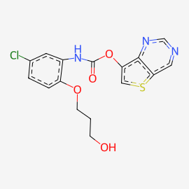 O=C(Nc1cc(Cl)ccc1OCCCO)Oc1csc2cncnc12